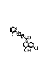 O=C(N1CC2(C1)CN(c1ncccc1F)C2)N1CCC(O)c2cc(Cl)ccc21